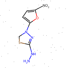 NNC1=NN(c2ccc([N+](=O)[O-])o2)CS1